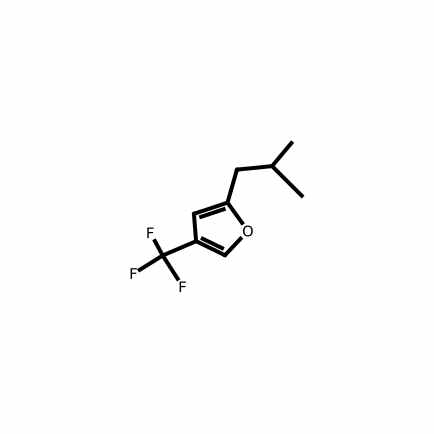 CC(C)Cc1cc(C(F)(F)F)co1